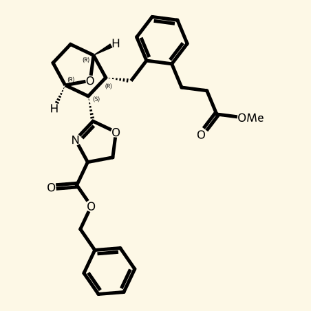 COC(=O)CCc1ccccc1C[C@@H]1[C@H](C2=NC(C(=O)OCc3ccccc3)CO2)[C@H]2CC[C@H]1O2